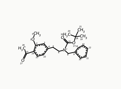 COc1cc(CCN(Cc2ccccc2)C(=O)OC(C)(C)C)ccc1C(C)=O